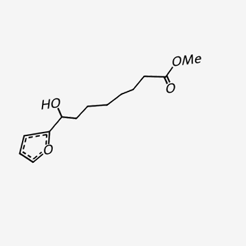 COC(=O)CCCCCCC(O)c1ccco1